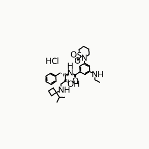 CCNc1cc(C(=O)N[C@@H](Cc2ccccc2)[C@H](O)CNC2(C(C)C)CCC2)cc(N2CCCCS2(=O)=O)c1.Cl